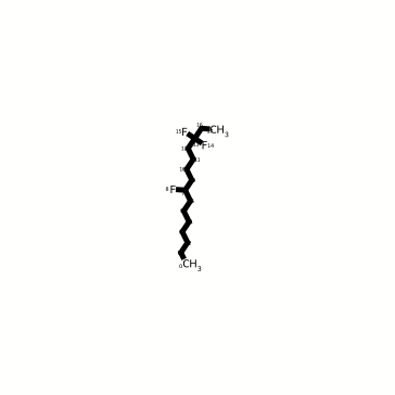 CCCCCCCC(F)CCCCC(F)(F)CC